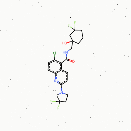 O=C(NC[C@@]1(O)CCCC(F)(F)C1)c1c(Cl)ccc2nc(N3CCC(F)(F)C3)ccc12